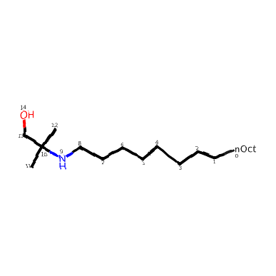 CCCCCCCCCCCCCCCCNC(C)(C)CO